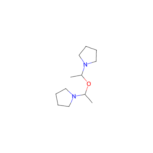 CC(OC(C)N1CCCC1)N1CCCC1